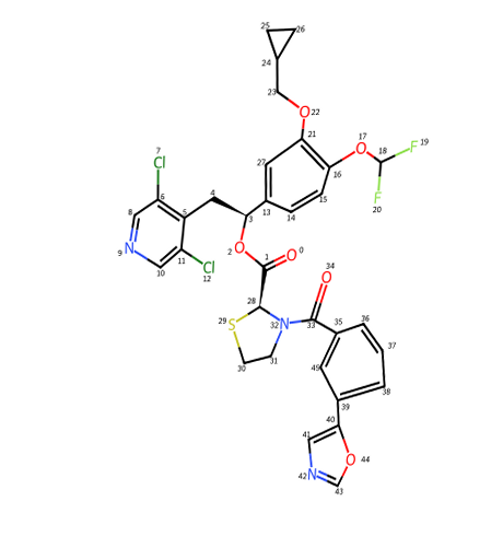 O=C(O[C@@H](Cc1c(Cl)cncc1Cl)c1ccc(OC(F)F)c(OCC2CC2)c1)[C@@H]1SCCN1C(=O)c1cccc(-c2cnco2)c1